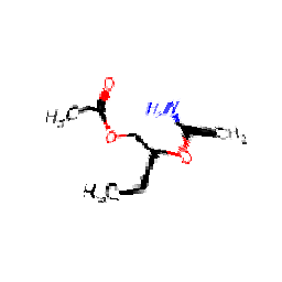 C=C(N)OC(CC)COC(C)=O